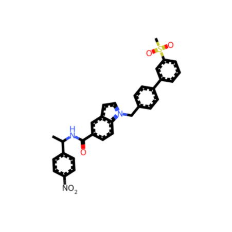 CC(NC(=O)c1ccc2c(ccn2Cc2ccc(-c3cccc(S(C)(=O)=O)c3)cc2)c1)c1ccc([N+](=O)[O-])cc1